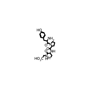 CC(C)CC(NC(=O)C1CCCN1C(=O)C(N)Cc1ccc(O)cc1)C(=O)NCC(=O)O